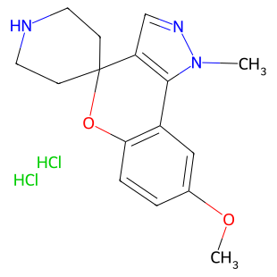 COc1ccc2c(c1)-c1c(cnn1C)C1(CCNCC1)O2.Cl.Cl